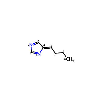 CCCC=C1C=NC=N1